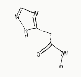 CCNC(=O)Cc1ncn[nH]1